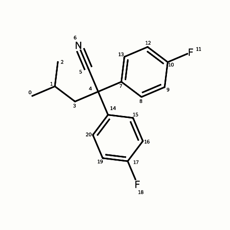 CC(C)CC(C#N)(c1ccc(F)cc1)c1ccc(F)cc1